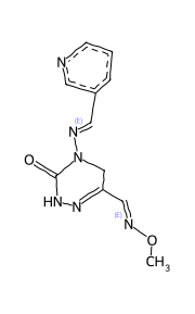 CO/N=C/C1=NNC(=O)N(/N=C/c2cccnc2)C1